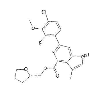 COc1c(Cl)ccc(-c2cc3[nH]cc(C)c3c(C(=O)OCC3CCCO3)n2)c1F